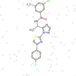 CC(NC(=O)c1cc(Cl)cc(C(F)(F)F)c1)c1ncnn1-c1nc(-c2ccc(F)cc2)cs1